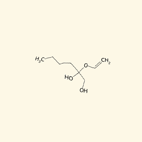 C=COC(O)(CO)CCCC